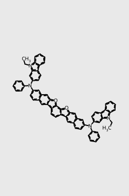 CCn1c2ccccc2c2ccc(N(c3ccccc3)c3ccc4cc5c(cc4c3)oc3c5ccc4c5cc6ccc(N(c7ccccc7)c7ccc8c9ccccc9n(CC)c8c7)cc6cc5oc43)cc21